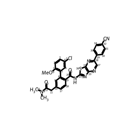 COc1ccc(Cl)cc1-c1cc(CC(=O)N(C)C)ccc1C(=O)Nc1nc2ncc(-c3ccc(C#N)cc3)nc2s1